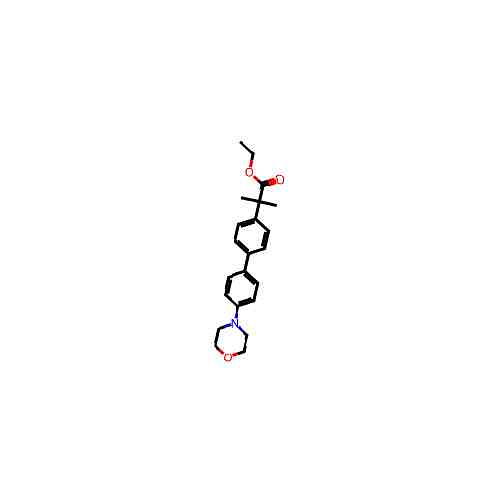 CCOC(=O)C(C)(C)c1ccc(-c2ccc(N3CCOCC3)cc2)cc1